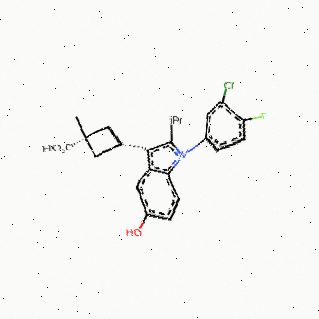 CC(C)c1c([C@H]2C[C@@](C)(C(=O)O)C2)c2cc(O)ccc2n1-c1ccc(F)c(Cl)c1